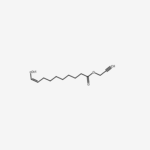 C#CCOC(=O)CCCCCCC/C=C\CCCCCCCC